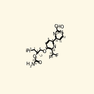 CC(C)C[C@@](C)(COc1ccc(-c2ccnc(C=O)n2)nc1C(F)F)OC(N)=O